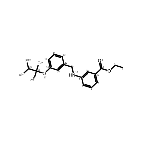 CCOC(=O)c1cccc(NCc2cccc(OC(F)(F)C(F)F)c2)c1